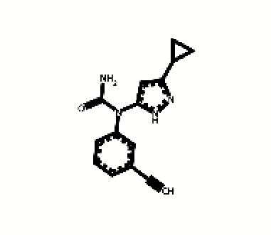 C#Cc1cccc(N(C(N)=O)c2cc(C3CC3)n[nH]2)c1